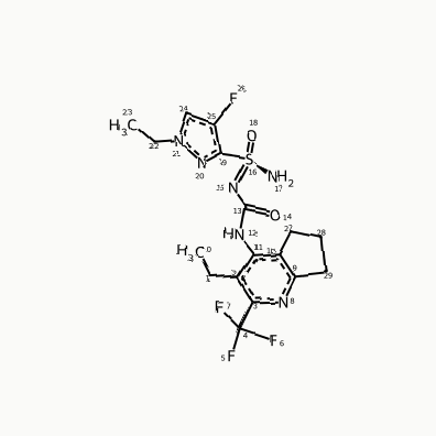 CCc1c(C(F)(F)F)nc2c(c1NC(=O)N=[S@@](N)(=O)c1nn(CC)cc1F)CCC2